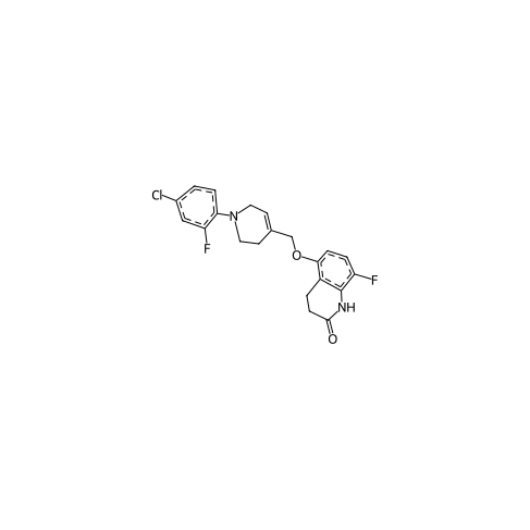 O=C1CCc2c(OCC3=CCN(c4ccc(Cl)cc4F)CC3)ccc(F)c2N1